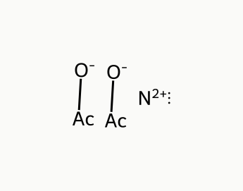 CC(=O)[O-].CC(=O)[O-].[N+2]